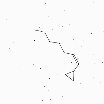 CCCCC/C=[C]\C1CC1